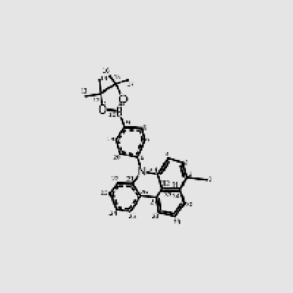 CC1=CC=C(N(c2ccc(B3OC(C)(C)C(C)(C)O3)cc2)c2ccccc2C2=C=C=CC=C2)CC1